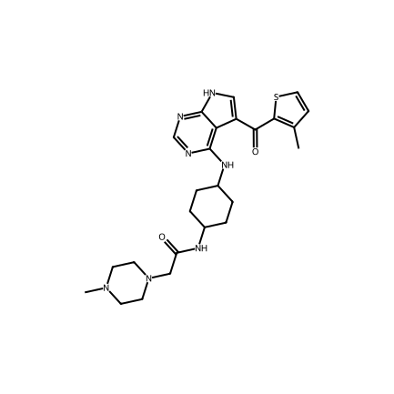 Cc1ccsc1C(=O)c1c[nH]c2ncnc(NC3CCC(NC(=O)CN4CCN(C)CC4)CC3)c12